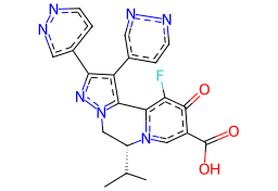 CC(C)[C@@H]1Cn2nc(-c3ccnnc3)c(-c3ccnnc3)c2-c2c(F)c(=O)c(C(=O)O)cn21